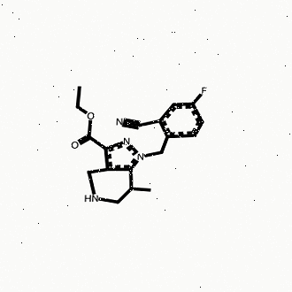 CCOC(=O)c1nn(Cc2ccc(F)cc2C#N)c2c1CNCC2C